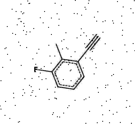 C#Cc1cccc(F)c1C